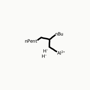 CCCCCCC([CH2][Al+2])CCCC.[H-].[H-]